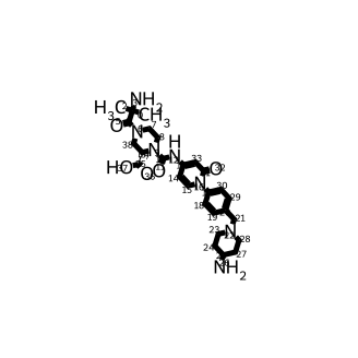 CC(C)(N)C(=O)N1CCN(C(=O)Nc2ccn(-c3ccc(CN4CCC(N)CC4)cc3)c(=O)c2)[C@H](C(=O)O)C1